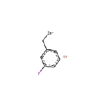 [Br-].[Zn+][CH2]c1cccc(I)c1